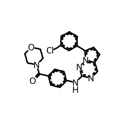 O=C(c1ccc(Nc2ncc3ccc(-c4cccc(Cl)c4)n3n2)cc1)N1CCOCC1